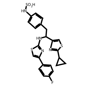 O=S(=O)(O)Nc1c[c]c(CC(Nc2nc(-c3ccc(F)cc3)cs2)c2csc(C3CC3)n2)cc1